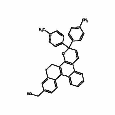 Cc1ccc(C2(c3ccc(C)cc3)C=Cc3c(c4c(c5ccccc35)-c3ccc(CO)cc3CC4)O2)cc1